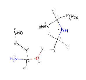 CCCCCCC(C)(CCCCCC)NC(C)(C)CCOC(C)(N)CCC=O